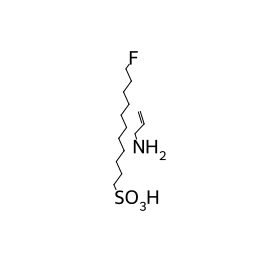 C=CCN.O=S(=O)(O)CCCCCCCCCCCF